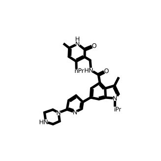 CCCc1cc(C)[nH]c(=O)c1CNC(=O)c1cc(-c2ccc(N3CCNCC3)nc2)cc2c1c(C)cn2C(C)C